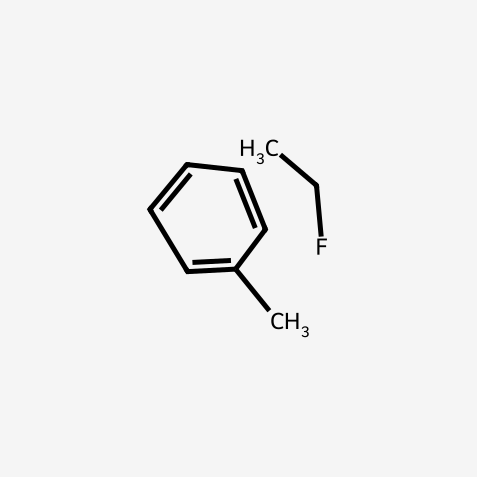 CCF.Cc1ccccc1